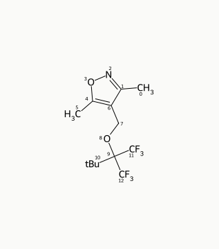 Cc1noc(C)c1COC(C(C)(C)C)(C(F)(F)F)C(F)(F)F